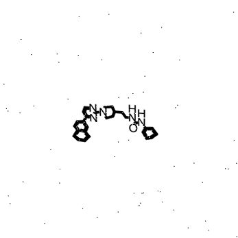 O=C(NCCC1CCN(c2nccc(-c3ccc4ccccc4c3)n2)CC1)Nc1ccccc1